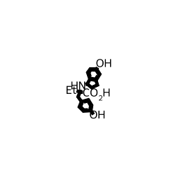 CCC(Cc1ccc(O)cc1)(NC1CCc2cc(O)ccc21)C(=O)O